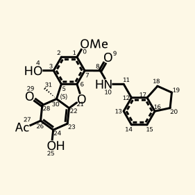 COc1cc(O)c2c(c1C(=O)NCc1cccc3c1CCC3)OC1=CC(O)=C(C(C)=O)C(=O)[C@]12C